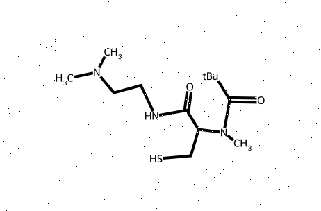 CN(C)CCNC(=O)C(CS)N(C)C(=O)C(C)(C)C